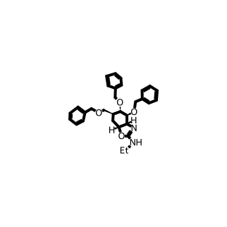 CCNC1=N[C@H]2[C@H](OCc3ccccc3)[C@@H](OCc3ccccc3)[C@H](COCc3ccccc3)C[C@H]2O1